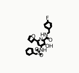 O=C(NCc1ccc(F)cc1)c1nc(-c2ccco2)cc(NS(=O)(=O)Cc2ccccc2)c1O